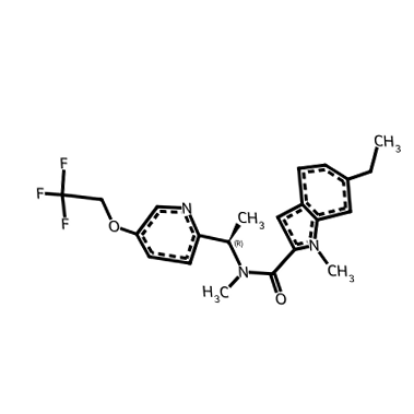 CCc1ccc2cc(C(=O)N(C)[C@H](C)c3ccc(OCC(F)(F)F)cn3)n(C)c2c1